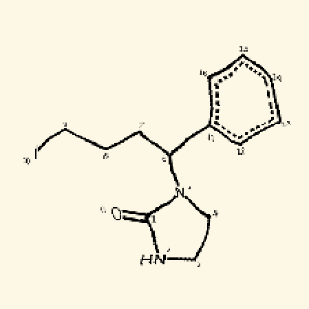 O=C1NCCN1C(CCCI)c1ccccc1